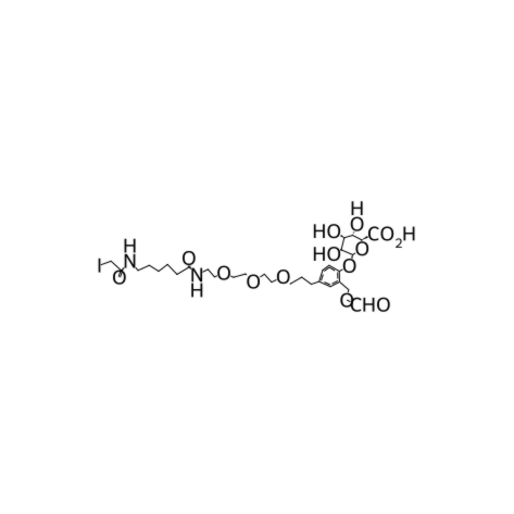 O=COCc1cc(CCCOCCOCCOCCNC(=O)CCCCCNC(=O)CI)ccc1O[C@@H]1O[C@H](C(=O)O)[C@@H](O)[C@H](O)[C@H]1O